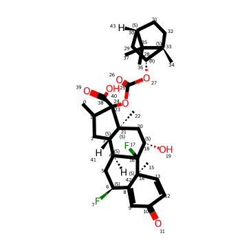 CC1C[C@H]2[C@@H]3C[C@H](F)C4=CC(=O)C=C[C@]4(C)C3(F)[C@@H](O)C[C@]2(C)C1(OC(=O)O[C@@H]1C[C@@H]2CC[C@@]1(C)C2(C)C)C(=O)O